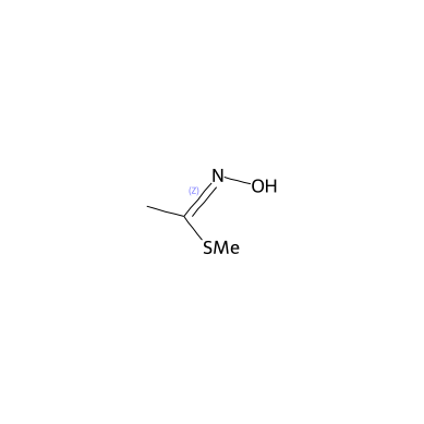 CS/C(C)=N\O